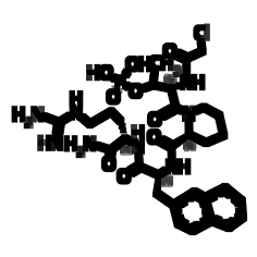 CC(OP(=O)(O)O)[C@H](NC(=O)CCl)C(=O)N1CCCC[C@H]1C(=O)N[C@@H](Cc1ccc2ccccc2c1)C(=O)N[C@@H](CCCNC(=N)N)C(N)=O